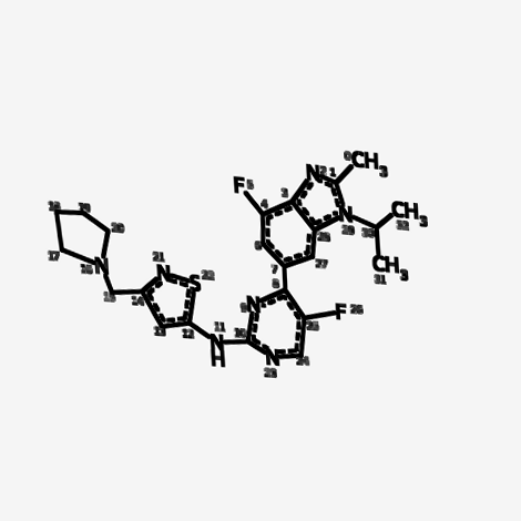 Cc1nc2c(F)cc(-c3nc(Nc4cc(CN5CCCC5)ns4)ncc3F)cc2n1C(C)C